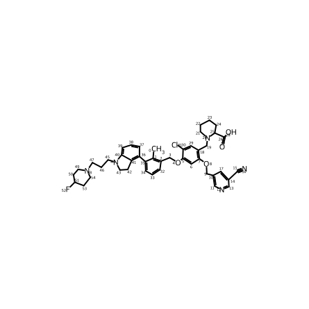 Cc1c(COc2cc(OCc3cncc(C#N)c3)c(CN3CCCCC3C(=O)O)cc2Cl)cccc1-c1cccc2c1CCN2CCCN1CCC(F)CC1